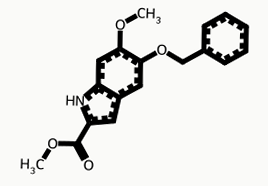 COC(=O)c1cc2cc(OCc3ccccc3)c(OC)cc2[nH]1